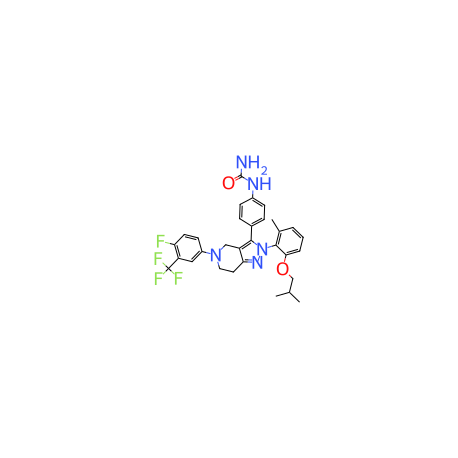 Cc1cccc(OCC(C)C)c1-n1nc2c(c1-c1ccc(NC(N)=O)cc1)CN(c1ccc(F)c(C(F)(F)F)c1)CC2